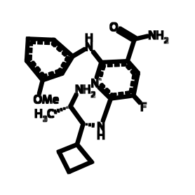 COc1cccc(Nc2nc(N[C@H](C3CCC3)[C@H](C)N)c(F)cc2C(N)=O)c1